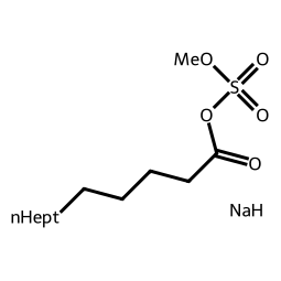 CCCCCCCCCCCC(=O)OS(=O)(=O)OC.[NaH]